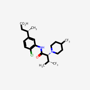 C[C@H]([C@H](C(=O)Nc1cc([C@@H](C)CC(=O)O)ccc1Cl)N1CCC(C(F)(F)F)CC1)C(F)(F)F